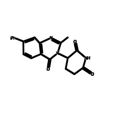 Cc1nc2cc(C(C)C)ccc2c(=O)n1C1CCC(=O)NC1=O